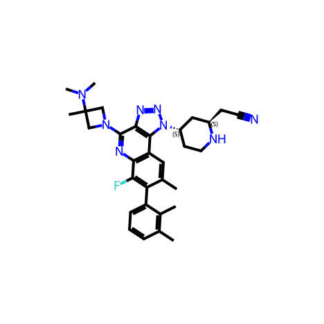 Cc1cccc(-c2c(C)cc3c(nc(N4CC(C)(N(C)C)C4)c4nnn([C@H]5CCN[C@H](CC#N)C5)c43)c2F)c1C